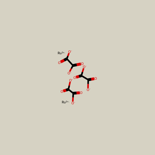 O=C([O-])C(=O)[O-].O=C([O-])C(=O)[O-].O=C([O-])C(=O)[O-].[Ru+3].[Ru+3]